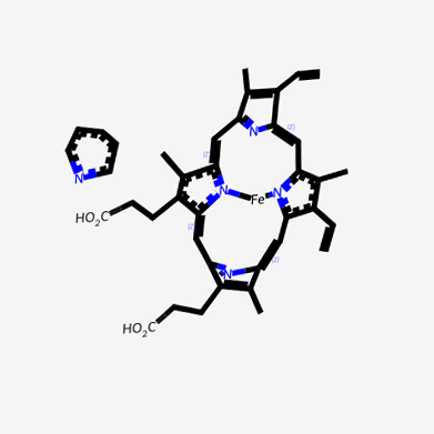 C=CC1=C(C)C2=NC/1=C\c1c(C)c(C=C)c3[n]1[Fe][n]1/c(c(C)c(CCC(=O)O)/c1=C/C1=NC(=C\3)/C(C)=C1CCC(=O)O)=C\2.c1ccncc1